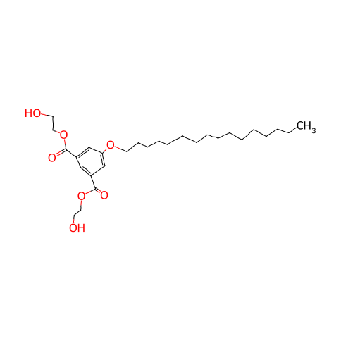 CCCCCCCCCCCCCCCCOc1cc(C(=O)OCCO)cc(C(=O)OCCO)c1